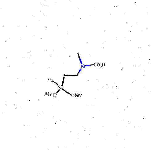 CC[Si](CCN(C)C(=O)O)(OC)OC